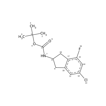 CC(C)(C)OC(=O)NC1Cc2cc(Cl)cc(F)c2C1